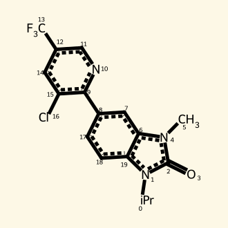 CC(C)n1c(=O)n(C)c2cc(-c3ncc(C(F)(F)F)cc3Cl)ccc21